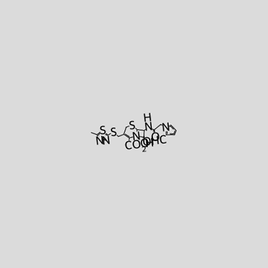 Cc1nnc(SCC2=C(C(=O)O)N3C(=O)C(NC(=O)Cn4cccc4C=O)C3SC2)s1